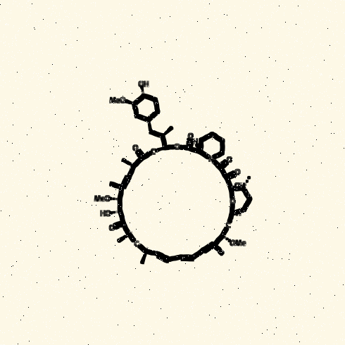 CO[C@H]1C[C@@H]2CC[C@@H](C)[C@@](O)(O2)C(=O)C(=O)N2CCCC[C@H]2C(=O)O[C@H]([C@H](C)C[C@@H]2CC[C@@H](O)[C@H](OC)C2)CC(=O)[C@H](C)/C=C(\C)[C@@H](OC)[C@@H](O)C(=O)[C@H](C)C[C@H](C)/C=C/C=C/C=C/1C